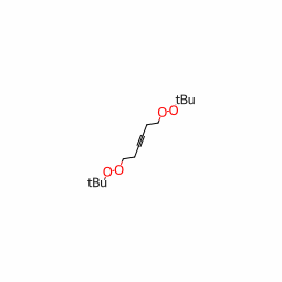 CC(C)(C)OOCCC#CCCOOC(C)(C)C